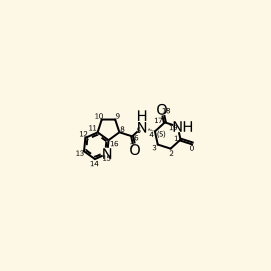 C=C1CC[C@H](NC(=O)C2CCc3cccnc32)C(=O)N1